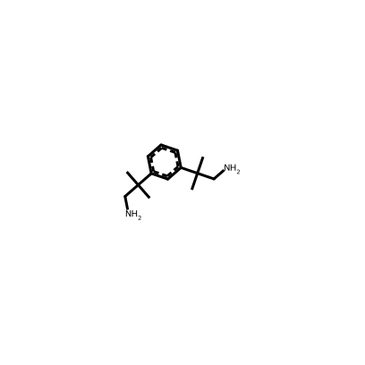 CC(C)(CN)c1cccc(C(C)(C)CN)c1